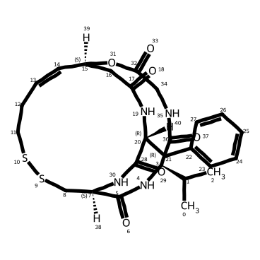 CC(C)[C@H]1NC(=O)[C@H]2CSSCCC=C[C@H](CC(=O)N[C@H](Cc3ccccc3)C(=O)N2)OC(=O)CNC1=O